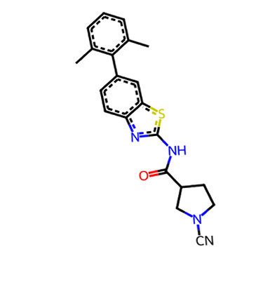 Cc1cccc(C)c1-c1ccc2nc(NC(=O)C3CCN(C#N)C3)sc2c1